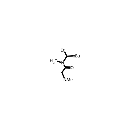 CCCCC(CC)N(C)C(=O)CNC